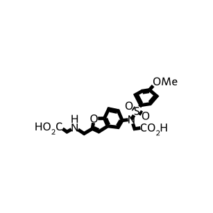 COc1ccc(S(=O)(=O)N(CC(=O)O)c2ccc3oc(CNCC(=O)O)cc3c2)cc1